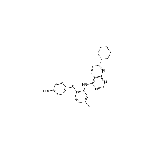 Cc1ccc(Sc2ccc(O)cc2)c(Nc2ncnc3nc(C4CCCCC4)ccc23)c1